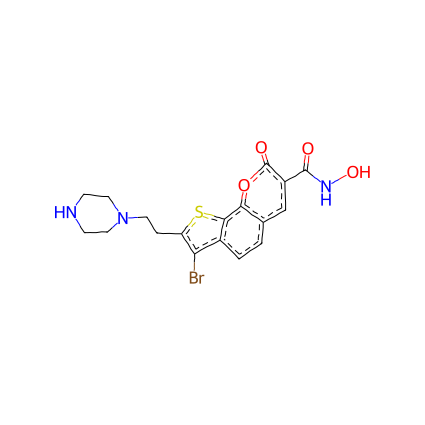 O=C(NO)c1cc2ccc3c(Br)c(CCN4CCNCC4)sc3c2oc1=O